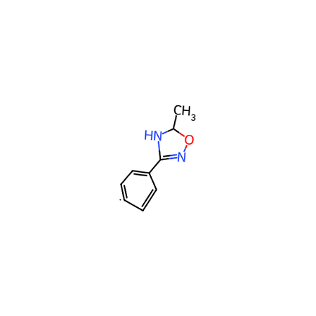 CC1NC(c2cc[c]cc2)=NO1